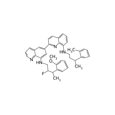 COc1ccccc1C(C)C(F)CNc1cc(-c2ccc3cccc(NCCC(C)c4ccccc4C)c3n2)cc2cccnc12